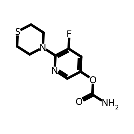 NC(=O)Oc1cnc(N2CCSCC2)c(F)c1